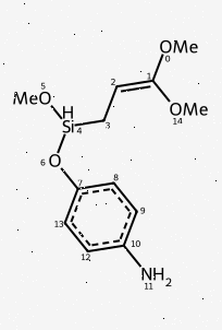 COC(=CC[SiH](OC)Oc1ccc(N)cc1)OC